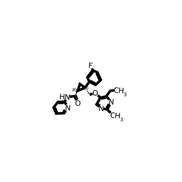 CCc1nc(C)ncc1OC[C@@]1(c2cccc(F)c2)C[C@H]1C(=O)Nc1ccccn1